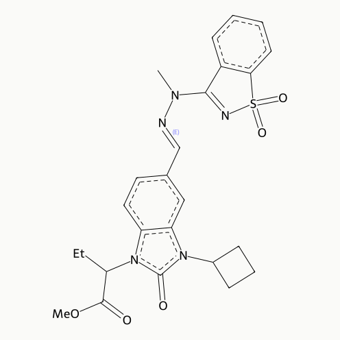 CCC(C(=O)OC)n1c(=O)n(C2CCC2)c2cc(/C=N/N(C)C3=NS(=O)(=O)c4ccccc43)ccc21